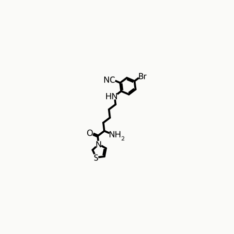 N#Cc1cc(Br)ccc1NCCCCC(N)C(=O)N1C=CSC1